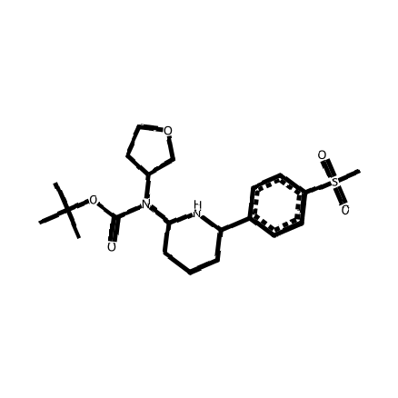 CC(C)(C)OC(=O)N(C1CCOC1)C1CCCC(c2ccc(S(C)(=O)=O)cc2)N1